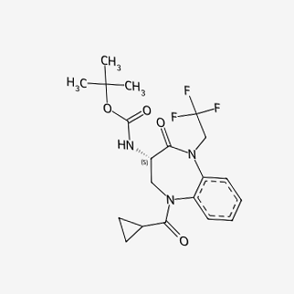 CC(C)(C)OC(=O)N[C@H]1CN(C(=O)C2CC2)c2ccccc2N(CC(F)(F)F)C1=O